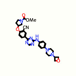 COC(=O)N1CCC(Oc2ccc(-c3ncnc(Nc4ccc(N5CCN(C6COC6)CC5)cc4)n3)cc2C#N)C1